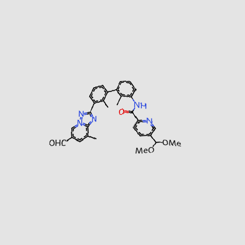 COC(OC)c1ccc(C(=O)Nc2cccc(-c3cccc(-c4nc5c(C)cc(C=O)cn5n4)c3C)c2C)nc1